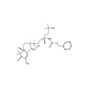 CCCC(C)(C)CC[C@@](C)(CCC(C)(C)[C@]1(C)CC[C@H]2C(C)(C)C(=O)C(C#N)=C[C@]2(C)/C1=C/C(C)=O)NC(=O)OCc1ccccc1